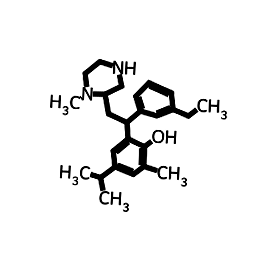 CCc1cccc(C(CC2CNCCN2C)c2cc(C(C)C)cc(C)c2O)c1